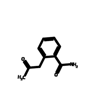 CC(=O)Cc1ccccc1C(N)=O